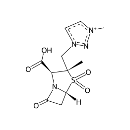 C[n+]1ccn(C[C@@]2(C)[C@H](C(=O)O)N3C(=O)C[C@H]3S2(=O)=O)n1